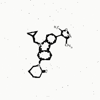 Cc1noc(C)c1-c1ccc2c(c1)c1ccc(N3CCCCC3=O)cc1n2CC1CC1